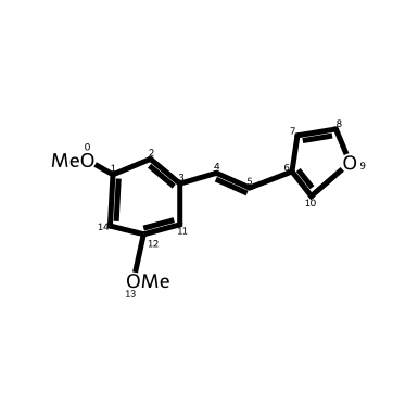 COc1cc(/C=C/c2ccoc2)cc(OC)c1